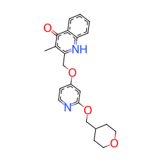 Cc1c(COc2ccnc(OCC3CCOCC3)c2)[nH]c2ccccc2c1=O